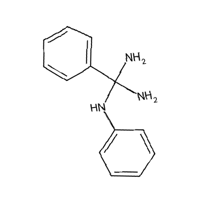 NC(N)(Nc1ccccc1)c1ccccc1